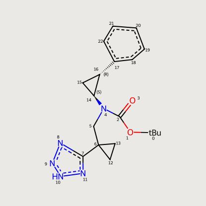 CC(C)(C)OC(=O)N(CC1(c2nn[nH]n2)CC1)[C@H]1C[C@@H]1c1ccccc1